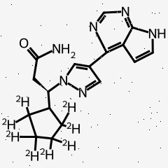 [2H]C1([2H])C([C@@H](CC(N)=O)n2cc(-c3ncnc4[nH]ccc34)cn2)C([2H])([2H])C([2H])([2H])C1([2H])[2H]